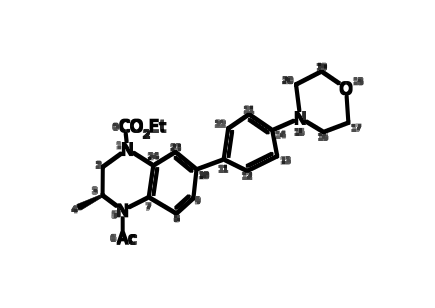 CCOC(=O)N1C[C@H](C)N(C(C)=O)c2ccc(-c3ccc(N4CCOCC4)cc3)cc21